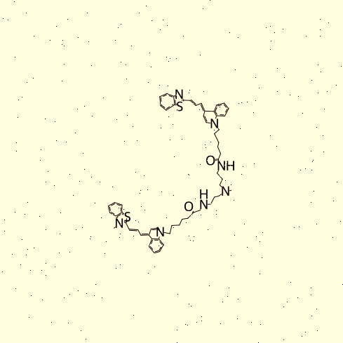 CN(CCCNCC(=O)CCCCCN1C=CC(=CC=Cc2sc3ccccc3[n+]2C)c2ccccc21)CCCNC(=O)CCCCCN1C=CC(=CC=Cc2nc3ccccc3s2)c2ccccc21